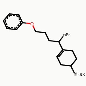 CCCCCCC1CC=C(C(CCC)CCCOc2ccccc2)CC1